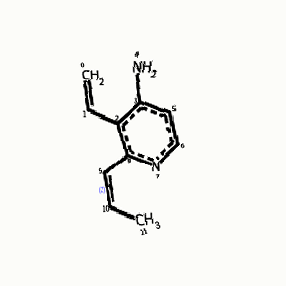 C=Cc1c(N)ccnc1/C=C\C